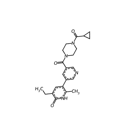 CCc1cc(-c2cncc(C(=O)N3CCN(C(=O)C4CC4)CC3)c2)c(C)[nH]c1=O